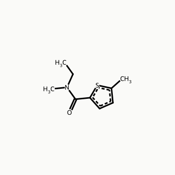 CCN(C)C(=O)c1ccc(C)s1